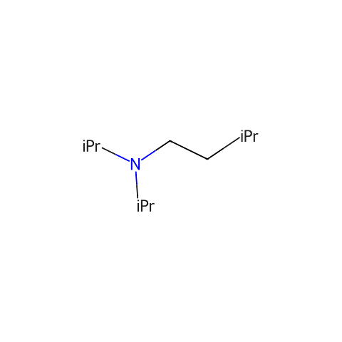 CC(C)CCN(C(C)C)C(C)C